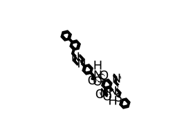 CN(C)CC[C@H](CSc1ccccc1)Nc1ccc(S(=O)(=O)NC(=O)c2ccc(N3CCN(Cc4cccc(-c5ccccc5)c4)CC3)cc2)cc1[N+](=O)[O-]